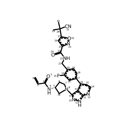 C=CC(=O)N[C@@H]1CCN(c2n[nH]c3nccc(-c4ccc(CNC(=O)c5cc(C(C)(C)C#N)on5)c(F)c4)c23)C1